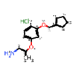 CC(CN)Oc1cccc(OCC2CCCC2)c1.Cl